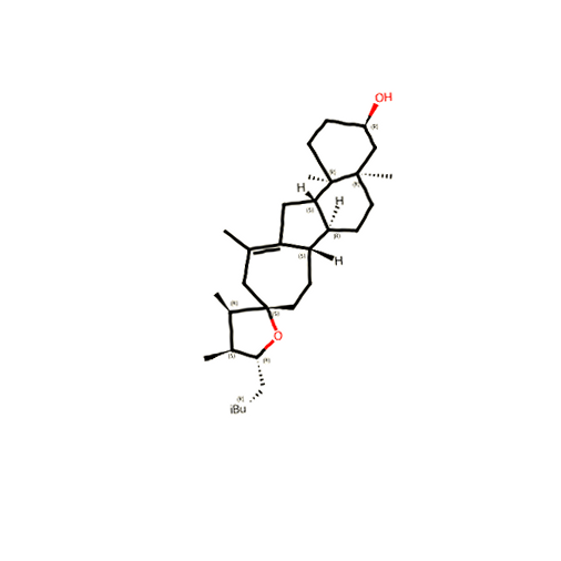 CC[C@@H](C)C[C@H]1O[C@]2(CC[C@@H]3C(=C(C)C2)C[C@H]2[C@H]3CC[C@]3(C)C[C@H](O)CC[C@]23C)[C@H](C)[C@@H]1C